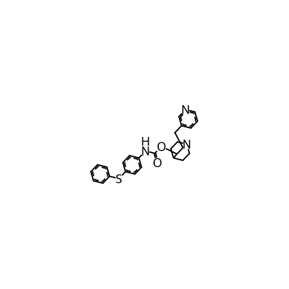 O=C(Nc1ccc(Sc2ccccc2)cc1)OC1C2CCN(CC2)C1Cc1cccnc1